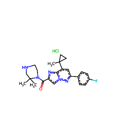 CC1(c2cc(-c3ccc(F)cc3)nn3cc(C(=O)N4CCNCC4(C)C)nc23)CC1.Cl